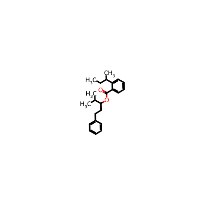 CCC(C)c1ccccc1C(=O)OC(CCc1ccccc1)C(C)C